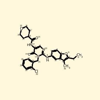 CCc1oc2ccc(Nc3ncc(NC(=O)C4CCOCC4)c(=O)n3Cc3ccccc3Cl)cc2c1C